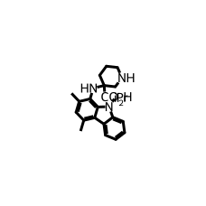 Cc1cc(C)c2c3ccccc3n(C(C)C)c2c1NC1(C(=O)O)CCCNC1